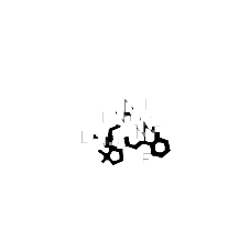 C=C(/C=C(\N=N/C)c1c(F)cccc1F)[C@H]1CCC(C)(CN(CC)C(=O)CCNC(N)=O)C1(C)C